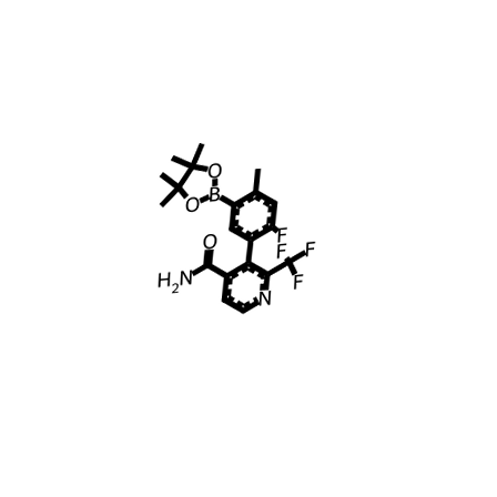 Cc1cc(F)c(-c2c(C(N)=O)ccnc2C(F)(F)F)cc1B1OC(C)(C)C(C)(C)O1